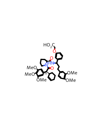 COc1ccc(CCC(NC(=O)[C@@H]2CCCCN2C(=O)[C@H](c2cc(OC)c(OC)c(OC)c2)C2C=CCCC2)c2cccc(OCC(=O)O)c2)cc1OC